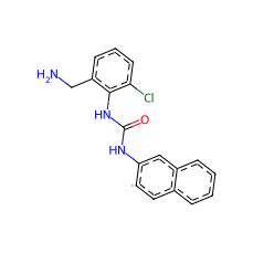 NCc1cccc(Cl)c1NC(=O)Nc1[c]cc2ccccc2c1